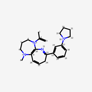 C=C(C)N1CCCN(C)C2=C1N=C(c1cccc(N3CCCC3)c1)CC=C2